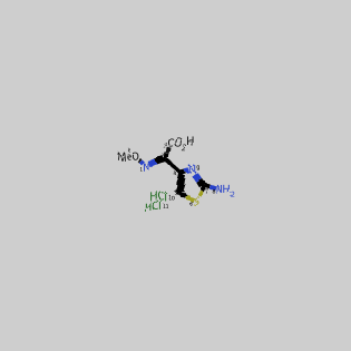 CON=C(C(=O)O)c1csc(N)n1.Cl.Cl